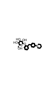 OC[C@H]1S[C@@H](Oc2ccccc2Cc2ccc(N3CCCCC3)cc2)[C@H](O)[C@@H](O)[C@@H]1O